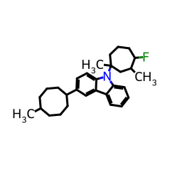 CC1CCCC(c2ccc3c(c2)c2ccccc2n3C2(C)CCCC(F)C(C)C2)CCC1